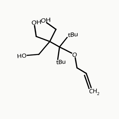 C=CCOC(C(C)(C)C)(C(C)(C)C)C(CO)(CO)CO